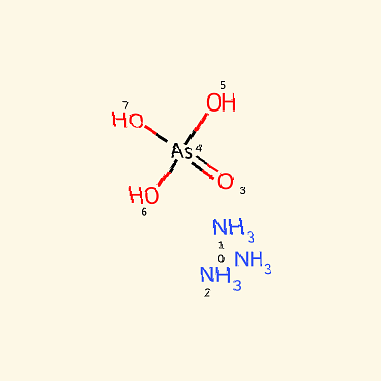 N.N.N.O=[As](O)(O)O